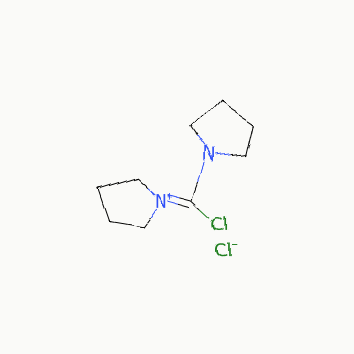 ClC(N1CCCC1)=[N+]1CCCC1.[Cl-]